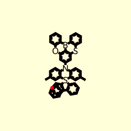 Cc1ccc2c(c1)S(c1ccccc1)(c1ccccc1-c1ccccc1)c1cc(C)ccc1N2c1cc2c3c(c1)Sc1ccccc1B3c1ccccc1O2